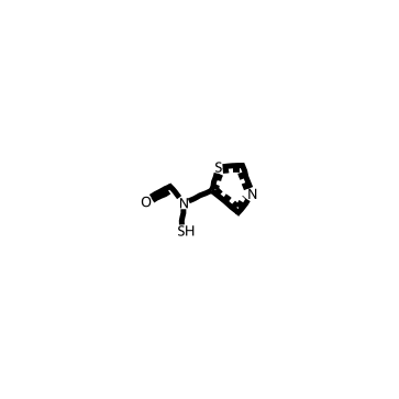 O=CN(S)c1cncs1